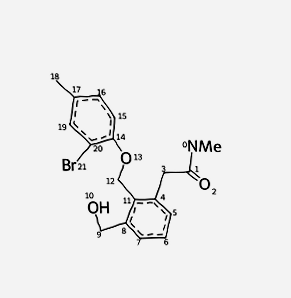 CNC(=O)Cc1cccc(CO)c1COc1ccc(C)cc1Br